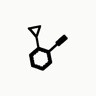 C#Cc1ccccc1C1CC1